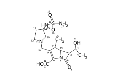 CC(O)C1C(=O)N2C(C(=O)O)=C(CN3CCC(NS(N)(=O)=O)C3)C(C)C12